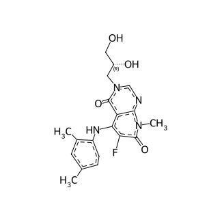 Cc1ccc(Nc2c(F)c(=O)n(C)c3ncn(C[C@@H](O)CO)c(=O)c23)c(C)c1